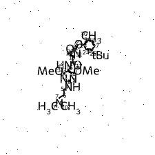 COc1nc(NCCCN(C)C)nc(OC)c1NC(=O)c1coc(Oc2cc(C(C)(C)C)ccc2C)n1